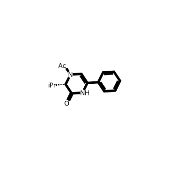 CC(=O)N1C=C(c2ccccc2)NC(=O)[C@@H]1C(C)C